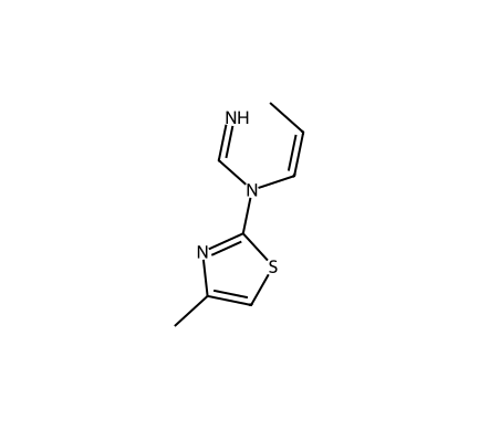 C/C=C\N(C=N)c1nc(C)cs1